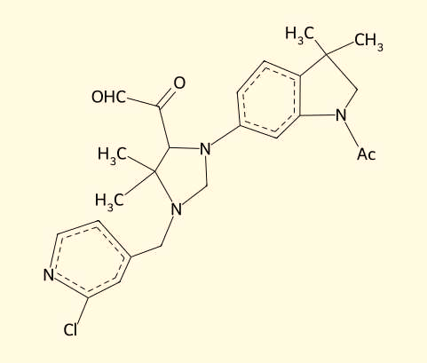 CC(=O)N1CC(C)(C)c2ccc(N3CN(Cc4ccnc(Cl)c4)C(C)(C)C3C(=O)C=O)cc21